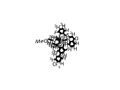 [2H]c1c([2H])c(F)c(F)c(CSc2c([2H])c(=O)c3c([2H])c([2H])c([2H])c([2H])c3n2C([2H])([2H])C(=O)N(Cc2c([2H])c([2H])c(-c3c([2H])c([2H])c(C(F)(F)F)c([2H])c3[2H])c([2H])c2C)C2([2H])C([2H])([2H])C([2H])([2H])N(C([2H])([2H])COC)C([2H])([2H])C2([2H])[2H])c1[2H]